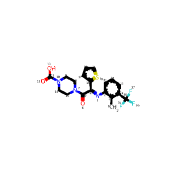 Cc1c(N=C(C(=O)N2CCN(C(=O)O)CC2)c2cccs2)cccc1C(F)(F)F